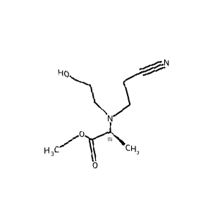 COC(=O)[C@H](C)N(CCO)CCC#N